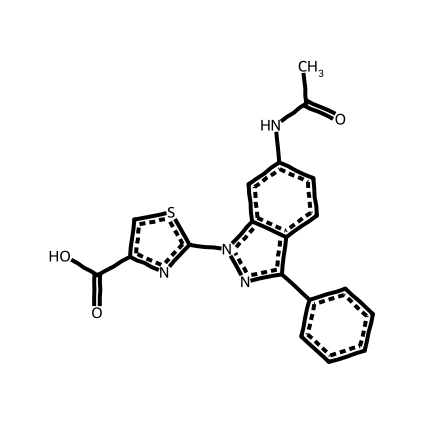 CC(=O)Nc1ccc2c(-c3ccccc3)nn(-c3nc(C(=O)O)cs3)c2c1